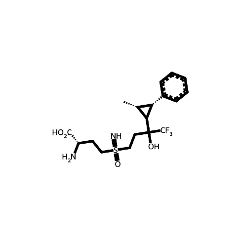 C[C@H]1C(C(O)(CCS(=N)(=O)CC[C@H](N)C(=O)O)C(F)(F)F)[C@H]1c1ccccc1